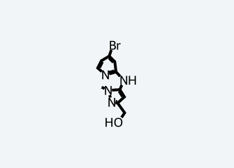 Cn1nc(CO)cc1Nc1cc(Br)ccn1